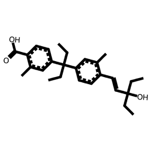 CCC(O)(/C=C/c1ccc(C(CC)(CC)c2ccc(C(=O)O)c(C)c2)cc1C)CC